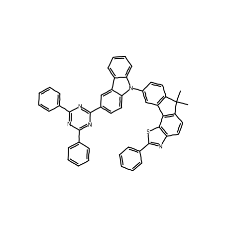 CC1(C)c2ccc(-n3c4ccccc4c4cc(-c5nc(-c6ccccc6)nc(-c6ccccc6)n5)ccc43)cc2-c2c1ccc1nc(-c3ccccc3)sc21